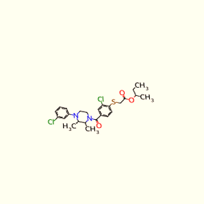 CCC(C)OC(=O)CSc1ccc(C(=O)N2CCN(c3cccc(Cl)c3)[C@H](C)C2C)cc1Cl